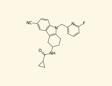 N#Cc1ccc2c(c1)c1c(n2Cc2cccc(F)n2)CCC(NC(=O)C2CC2)C1